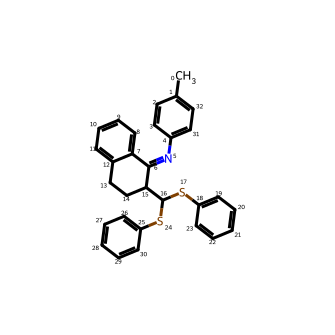 Cc1ccc(N=C2c3ccccc3CCC2C(Sc2ccccc2)Sc2ccccc2)cc1